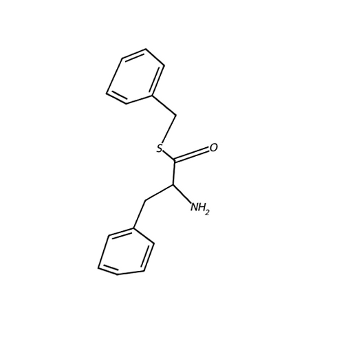 NC(Cc1ccccc1)C(=O)SCc1ccccc1